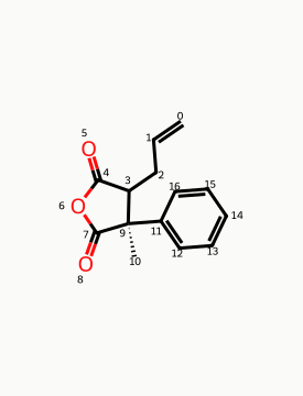 C=CCC1C(=O)OC(=O)[C@]1(C)c1ccccc1